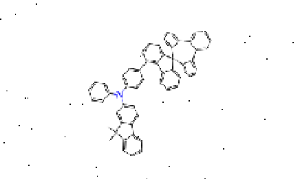 CC1(C)c2ccccc2-c2ccc(N(c3ccccc3)c3ccc(-c4cccc5c4-c4ccccc4C54c5ccccc5-c5ccccc5-c5ccccc54)cc3)cc21